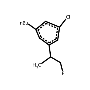 CCCCc1cc(Cl)cc([C](C)CF)c1